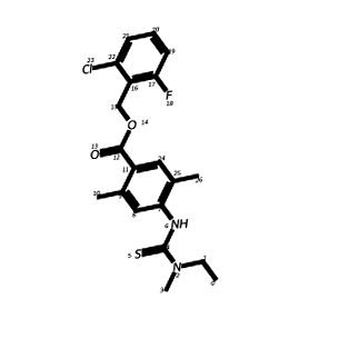 CCN(C)C(=S)Nc1cc(C)c(C(=O)OCc2c(F)cccc2Cl)cc1C